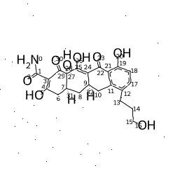 NC(=O)C1=C(O)C[C@@H]2C[C@@H]3Cc4c(CCCO)ccc(O)c4C(=O)C3=C(O)[C@]2(O)C1=O